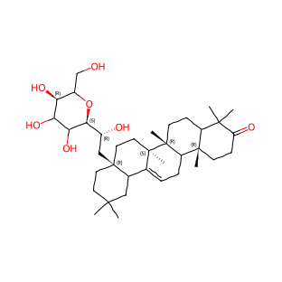 CC1(C)CC[C@]2(C[C@@H](O)[C@@H]3OC(CO)[C@H](O)C(O)C3O)CC[C@]3(C)C(=CCC4[C@@]5(C)CCC(=O)C(C)(C)C5CC[C@]43C)C2C1